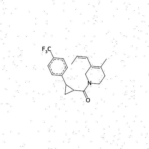 C/C=C\C1=C(C)CCN(C(=O)C2CC2c2ccc(C(F)(F)F)cc2)C1